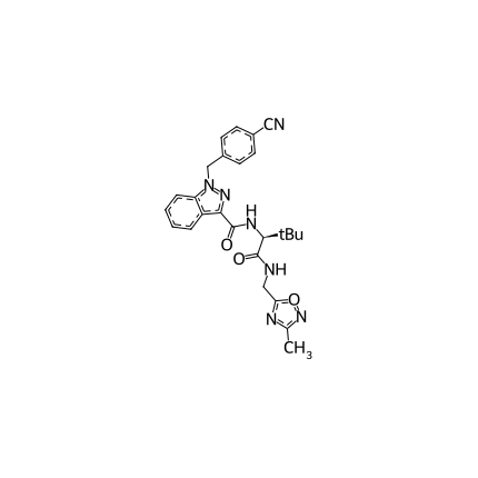 Cc1noc(CNC(=O)[C@@H](NC(=O)c2nn(Cc3ccc(C#N)cc3)c3ccccc23)C(C)(C)C)n1